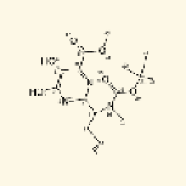 C=CCC(c1nc(O)c(O)c(C(=O)OC)n1)N(C)C(=O)OC(C)(C)C